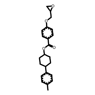 Cc1ccc(C2CCC(OC(=O)c3ccc(OCC4CO4)cc3)CC2)cc1